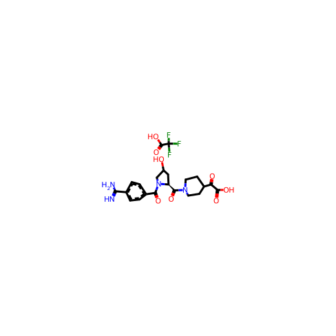 N=C(N)c1ccc(C(=O)N2CC(O)C[C@H]2C(=O)N2CCC(C(=O)C(=O)O)CC2)cc1.O=C(O)C(F)(F)F